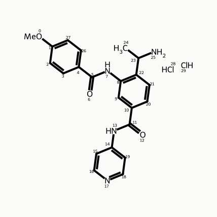 COc1ccc(C(=O)Nc2cc(C(=O)Nc3ccncc3)ccc2C(C)N)cc1.Cl.Cl